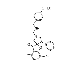 CCSc1ccc(CNCN2CC(c3ccccc3)C3(C2)Oc2c(C(C)C)ccc(C)c2C3=O)cc1